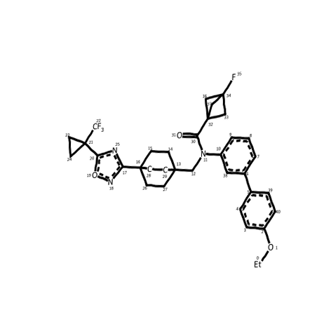 CCOc1ccc(-c2cccc(N(CC34CCC(c5noc(C6(C(F)(F)F)CC6)n5)(CC3)CC4)C(=O)C34CC(F)(C3)C4)c2)cc1